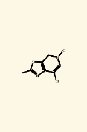 Cc1nc2c(s1)CN(Cl)C=C2Cl